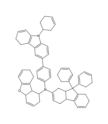 C1=CCCC(C2(C3=CC=CCC3)C3=C(C=CCC3)C3CC=C(N(c4ccc(-c5ccc6c(c5)c5c(n6C6CC=CCC6)C=CCC5)cc4)C4CC=CC5OC6=C(CCC=C6)C54)CC32)=C1